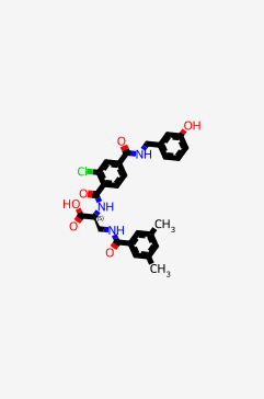 Cc1cc(C)cc(C(=O)NC[C@H](NC(=O)c2ccc(C(=O)NCc3cccc(O)c3)cc2Cl)C(=O)O)c1